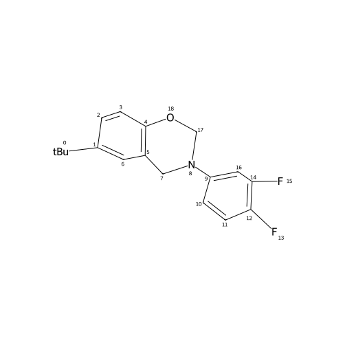 CC(C)(C)c1ccc2c(c1)CN(c1ccc(F)c(F)c1)CO2